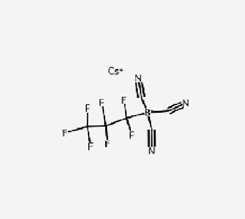 N#C[B-](C#N)(C#N)C(F)(F)C(F)(F)C(F)(F)F.[Cs+]